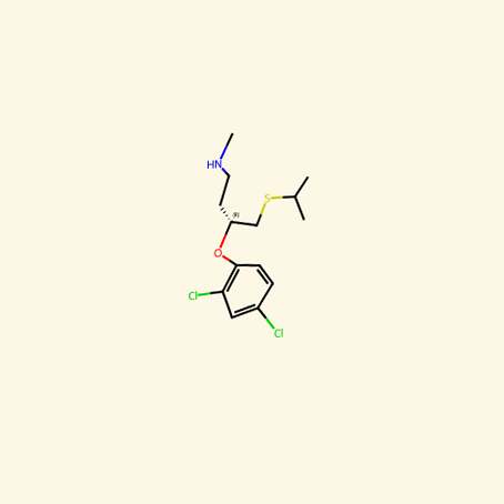 CNCC[C@H](CSC(C)C)Oc1ccc(Cl)cc1Cl